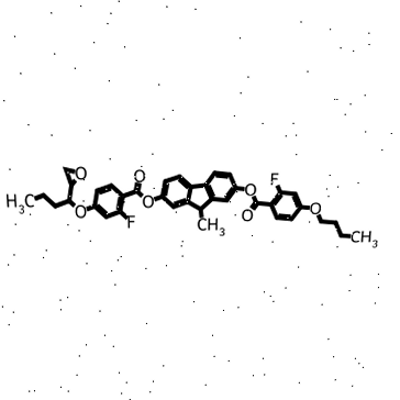 CCCCOc1ccc(C(=O)Oc2ccc3c(c2)C(C)c2cc(OC(=O)c4ccc(OC(CCC)C5CO5)cc4F)ccc2-3)c(F)c1